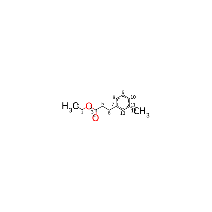 CCOC(=O)CCc1cccc(C)c1